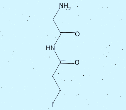 NCC(=O)NC(=O)CCI